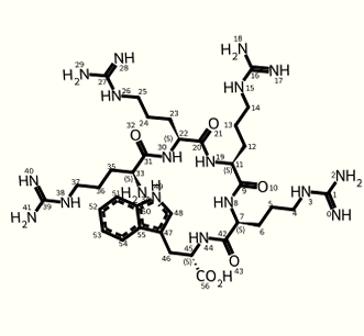 N=C(N)NCCC[C@H](NC(=O)[C@H](CCCNC(=N)N)NC(=O)[C@H](CCCNC(=N)N)NC(=O)[C@@H](N)CCCNC(=N)N)C(=O)N[C@@H](Cc1c[nH]c2ccccc12)C(=O)O